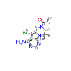 C=CC(=O)N1Cc2c(Br)c3c(N)ncnc3n2C(C)(C)C1